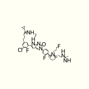 CC(=N)NCC[C@@H]1CCC[C@@H](c2ccc(-n3cc4cc(-c5cc(CCC[C@@H](N)C6CC6)cc(Cl)c5F)[nH]c4nc3=O)cc2F)N1CCCF